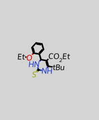 CCOC(=O)C1=C(C(C)(C)C)NC(=S)NC1c1ccccc1OCC